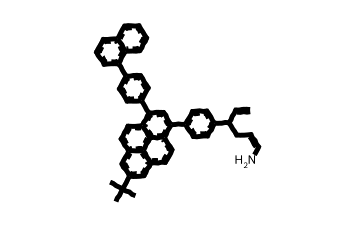 C=CC(C/C=C\N)c1ccc(-c2cc(-c3ccc(-c4cccc5ccccc45)cc3)c3ccc4cc(C(C)(C)C)cc5ccc2c3c45)cc1